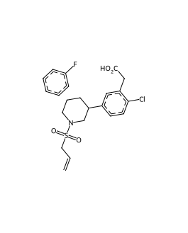 C=CCS(=O)(=O)N1CCCC(c2ccc(Cl)c(CC(=O)O)c2)C1.Fc1ccccc1